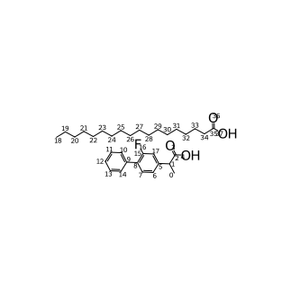 CC(C(=O)O)c1ccc(-c2ccccc2)c(F)c1.CCCCCCCCCCCCCCCCCC(=O)O